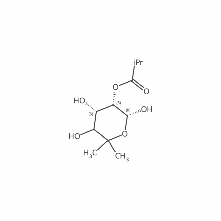 CC(C)C(=O)O[C@@H]1[C@H](O)OC(C)(C)C(O)[C@@H]1O